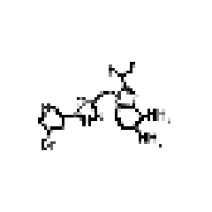 Nc1ccc2c(cc(C(F)F)n2Cc2nnc(-c3cncc(Br)c3)o2)c1N